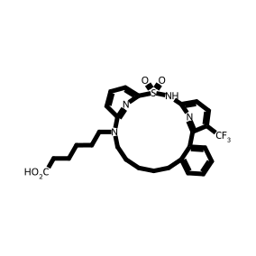 O=C(O)CCCCCN1CCCCCc2ccccc2-c2nc(ccc2C(F)(F)F)NS(=O)(=O)c2cccc1n2